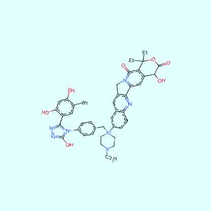 CCC1(CC)OC(=O)C(O)c2cc3n(c(=O)c21)Cc1cc2cc([N+]4(Cc5ccc(-n6c(O)nnc6-c6cc(C(C)C)c(O)cc6O)cc5)CCN(C(=O)O)CC4)ccc2nc1-3